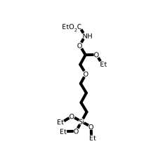 CCOC(=O)NOC(COCCCC[Si](OCC)(OCC)OCC)OCC